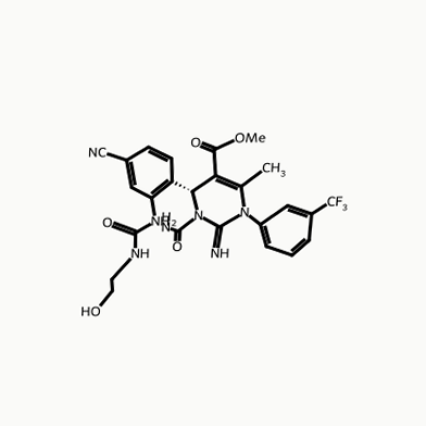 COC(=O)C1=C(C)N(c2cccc(C(F)(F)F)c2)C(=N)N(C(N)=O)[C@@H]1c1ccc(C#N)cc1NC(=O)NCCO